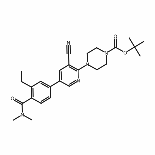 CCc1cc(-c2cnc(N3CCN(C(=O)OC(C)(C)C)CC3)c(C#N)c2)ccc1C(=O)N(C)C